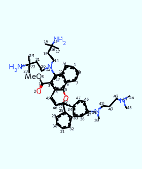 COC(=O)c1c2c(c3ccccc3c1N(CCC(C)(C)N)CCC(C)(C)N)OC(c1ccccc1)(c1ccc(N(C)CCCN(C)C)cc1)C=C2